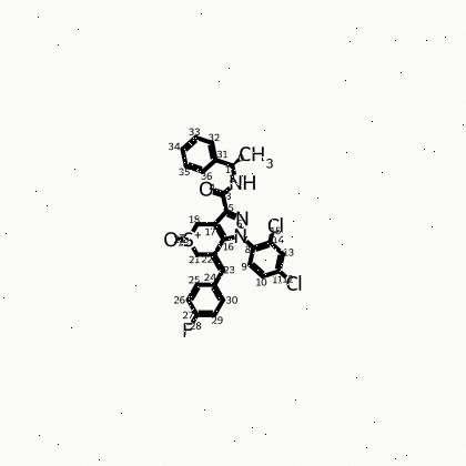 C[C@@H](NC(=O)c1nn(-c2ccc(Cl)cc2Cl)c2c1C[S+]([O-])C/C2=C\c1ccc(F)cc1)c1ccccc1